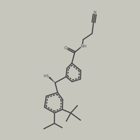 CC(C)c1ccc([C@@H](S)c2cccc(C(=O)NCCC#N)c2)cc1C(C)(C)C